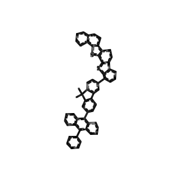 CC1(C)c2ccc(-c3cccc4c3sc3c4ccc4c5ccc6ccccc6c5sc43)cc2-c2ccc(-c3c4ccccc4c(-c4ccccc4)c4ccccc34)cc21